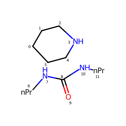 C1CCNCC1.CCCNC(=O)NCCC